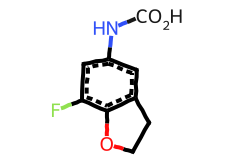 O=C(O)Nc1cc(F)c2c(c1)CCO2